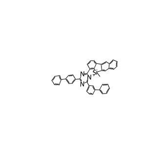 C[Si]1(C)c2cc3ccccc3cc2-c2cccc(-c3nc(-c4ccc(-c5ccccc5)cc4)nc(-c4cccc(-c5ccccc5)c4)n3)c21